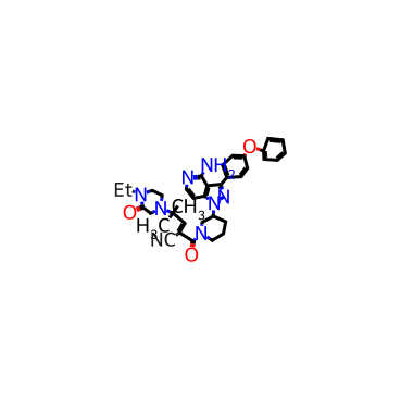 CCN1CCN(C(C)(C)C=C(C#N)C(=O)N2CCCC(n3nc(-c4ccc(Oc5ccccc5)cc4)c4c(N)nccc43)C2)CC1=O